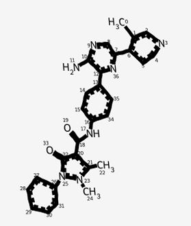 Cc1cnccc1-c1cnc(N)c(-c2ccc(NC(=O)c3c(C)n(C)n(-c4ccccc4)c3=O)cc2)n1